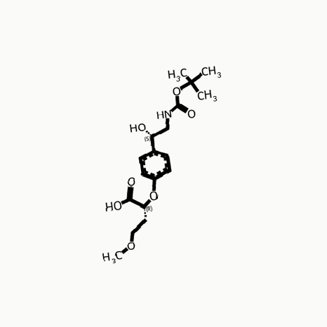 COCC[C@@H](Oc1ccc([C@H](O)CNC(=O)OC(C)(C)C)cc1)C(=O)O